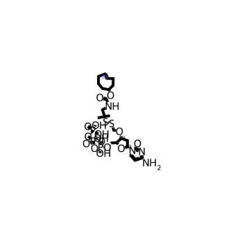 CC(C)(CNC(=O)OC1CC/C=C/CCC1)SSCO[C@@H]1C[C@H](n2ccc(N)nc2=O)OC1COP(=O)(O)OP(=O)(O)OP(=O)(O)O